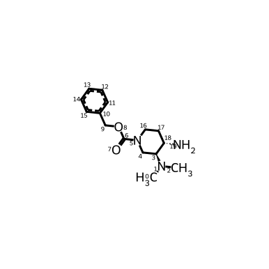 CN(C)[C@H]1CN(C(=O)OCc2ccccc2)CC[C@@H]1N